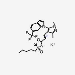 CCCCCS(=O)(=O)[N-]C(=O)/C=C/c1c(C)nn(C)c1-n1ccc2ccc(C(F)(F)F)cc21.[K+]